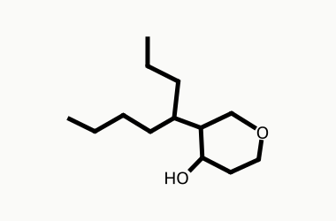 CCCCC(CCC)C1COCCC1O